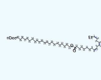 CC/C=C\C/C=C\C/C=C\CCCCCCCC(=O)OCCCCCCCCCCCCCCCCCCCCCCCCCCCCCCCC